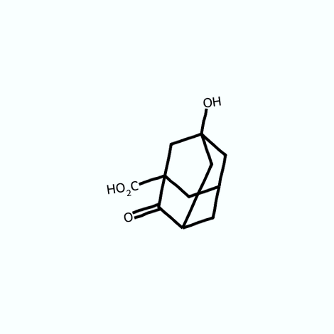 O=C(O)C12CC3CC(CC(O)(C3)C1)C2=O